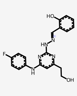 OCCc1cc(Nc2ccc(F)cc2)nc(N/N=C/c2ccccc2O)n1